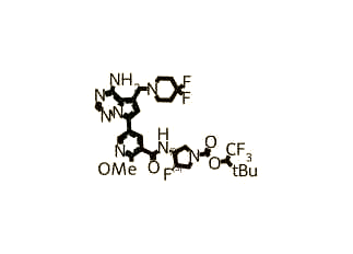 COc1ncc(-c2cc(CN3CCC(F)(F)CC3)c3c(N)ncnn23)cc1C(=O)N[C@@H]1CN(C(=O)OC(C(C)(C)C)C(F)(F)F)C[C@@H]1F